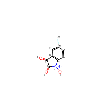 O=C1C(=O)[NH+]([O-])c2ccc(F)cc21